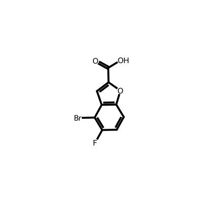 O=C(O)c1cc2c(Br)c(F)ccc2o1